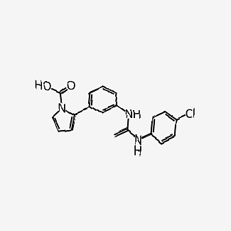 C=C(Nc1ccc(Cl)cc1)Nc1cccc(-c2cccn2C(=O)O)c1